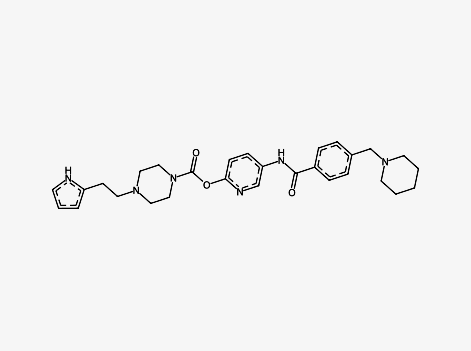 O=C(Nc1ccc(OC(=O)N2CCN(CCc3ccc[nH]3)CC2)nc1)c1ccc(CN2CCCCC2)cc1